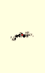 N#CCC(n1cc(-c2cnn3c(-c4cccc(NC(=O)NCC(F)(F)F)c4)cnc3c2)cn1)C(F)(F)F